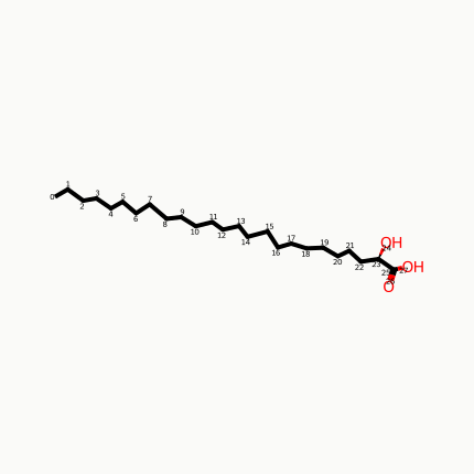 CCCCCCCCCCCCCCCCCCCCCCC[C@@H](O)C(=O)O